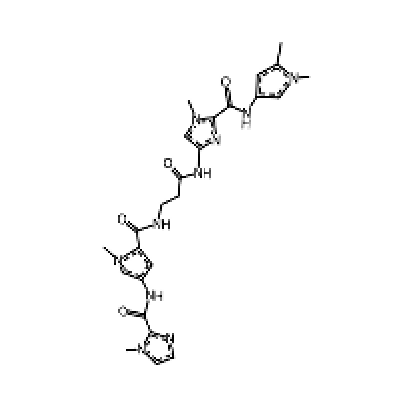 Cc1cc(NC(=O)c2nc(NC(=O)CCNC(=O)c3cc(NC(=O)c4nccn4C)cn3C)cn2C)cn1C